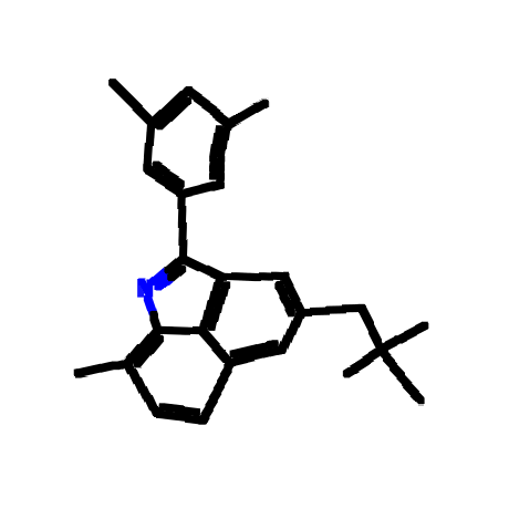 Cc1cc(C)cc(C2=Nc3c(C)ccc4cc(CC(C)(C)C)cc2c34)c1